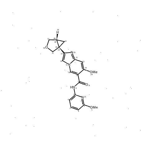 COc1cccc(NC(=O)c2cn3cc([C@@]45COC[C@@H]4C5)nc3cc2OC)n1